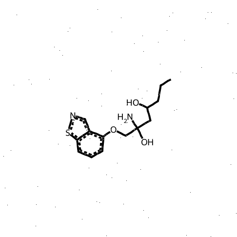 CCCC(O)CC(N)(O)COc1cccc2sncc12